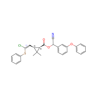 CC1(C)[C@H](C(=O)OC(C#N)c2cccc(Oc3ccccc3)c2)[C@@H]1/C=C(/Cl)Sc1ccccc1